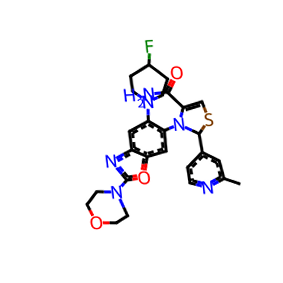 Cc1cc(C2SC=C(C(N)=O)N2c2cc3oc(N4CCOCC4)nc3cc2N2CCC(F)CC2)ccn1